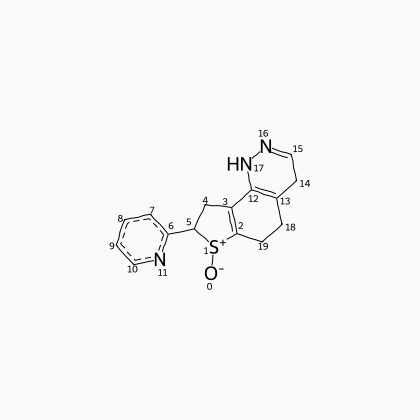 [O-][S+]1C2=C(CC1c1ccccn1)C1=C(CC=NN1)CC2